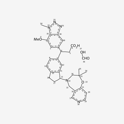 COc1cc(C(CC(=O)O)c2ccc3c(c2)C(N2Cc4cnccc4OC(C)(C)C2)CC3)cc2nnn(C)c12.O=CO